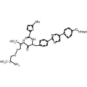 CCCCCCCOc1ccc(-c2cnc(-c3ccc(CC(NC(=O)c4ccc(C(C)(C)C)s4)C(=O)N[C@@H](CSSC[C@H](N)C(=O)O)C(=O)O)cc3)nc2)cc1